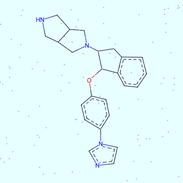 c1ccc2c(c1)CC(N1CC3CNCC3C1)C2Oc1ccc(-n2ccnc2)cc1